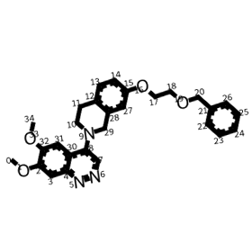 COc1cc2nncc(N3CCc4ccc(OCCOCc5ccccc5)cc4C3)c2cc1OC